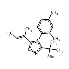 C/C=C(\C)c1nnc(C(C)(C)CCCC)n1-c1ccc(C)cc1C